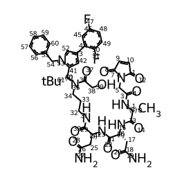 C[C@@H](NC(=O)CN1C(=O)C=CC1=O)C(=O)N[C@H](CC(N)=O)C(=O)N[C@@H](CC(N)=O)C(=O)NCCCN(C(=O)CO)[C@@H](c1cc(-c2cc(F)ccc2F)cn1Cc1ccccc1)C(C)(C)C